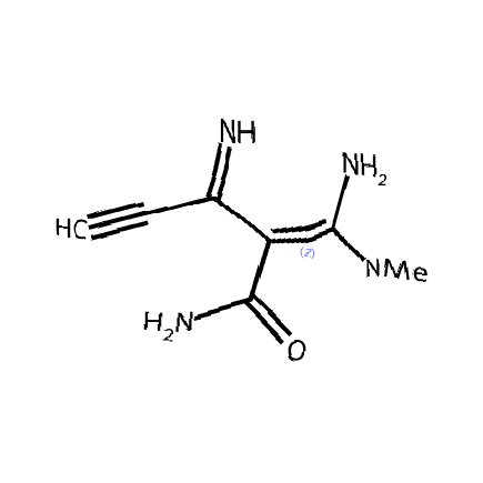 C#CC(=N)/C(C(N)=O)=C(\N)NC